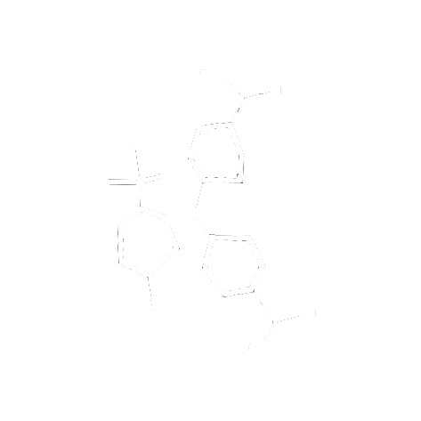 CC(C)c1ccc([I+]c2ccc(C(C)C)cc2)cc1.O=S(=O)([O-])c1ccc(F)cc1